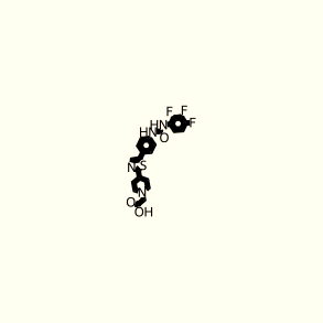 O=C(O)CN1CCC(c2ncc(-c3ccc(NC(=O)Nc4ccc(F)c(F)c4F)cc3)s2)CC1